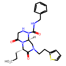 O=C(O)CC[C@H]1C(=O)N(CCc2cccs2)C[C@@H]2N(C(=O)NCc3ccccc3)NCC(=O)N21